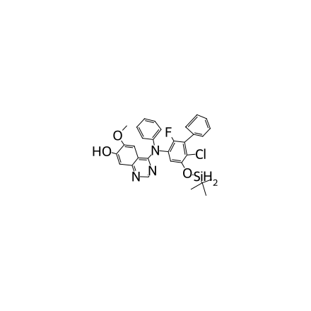 COc1cc2c(N(c3ccccc3)c3cc(O[SiH2]C(C)(C)C)c(Cl)c(-c4ccccc4)c3F)ncnc2cc1O